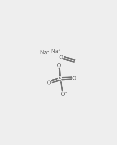 C=O.O=S(=O)([O-])[O-].[Na+].[Na+]